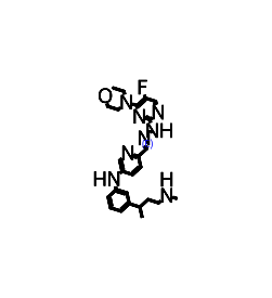 CNCCC(C)c1cccc(Nc2ccc(/C=N/Nc3ncc(F)c(N4CCOCC4)n3)nc2)c1